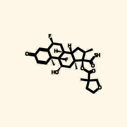 C[C@@H]1C[C@H]2[C@@H]3C[C@H](F)C4=CC(=O)C=C[C@]4(C)[C@@]3(F)[C@@H](O)C[C@]2(C)[C@@]1(OC(=O)C1(C)CCOC1)C(=O)S